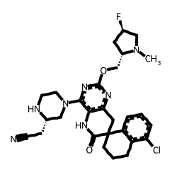 CN1C[C@H](F)C[C@H]1COc1nc2c(c(N3CCN[C@@H](CC#N)C3)n1)NC(=O)C1(CCCc3c(Cl)cccc31)C2